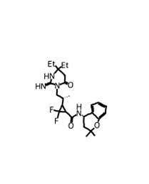 CCC1(CC)CC(=O)N(C[C@H](C)C2C(C(=O)N[C@H]3CC(C)(C)Oc4ccccc43)C2(F)F)C(=N)N1